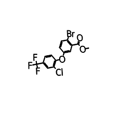 COC(=O)c1cc(Oc2ccc(C(F)(F)F)cc2Cl)ccc1Br